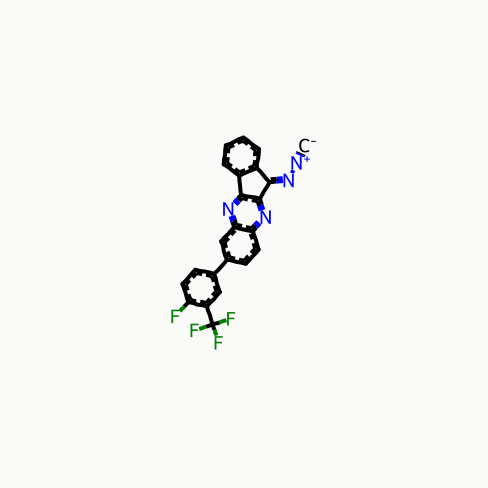 [C-]#[N+]/N=C1\c2ccccc2-c2nc3cc(-c4ccc(F)c(C(F)(F)F)c4)ccc3nc21